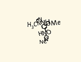 COc1cc(C(=O)NC2CCN(C#N)C2)ccc1Nc1nccc(C)n1